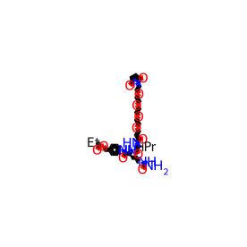 CCC(=O)OCc1ccc(NC(=O)[C@H](CCCNC(N)=O)NC(=O)[C@@H](NC(=O)CCOCCOCCOCCOCCN2C(=O)C=CC2=O)C(C)C)cc1